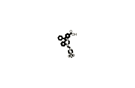 CS(=O)(=O)N1CCN(CCN2CCn3c(c(C4CCCCC4)c4ccc(C(=O)O)cc43)-c3ccccc32)CC1